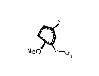 COc1ccc(F)cc1OC(F)(F)F